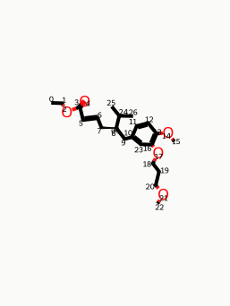 CCOC(=O)C=CC[C@H](Cc1ccc(OC)c(OCCCOC)c1)C(C)C